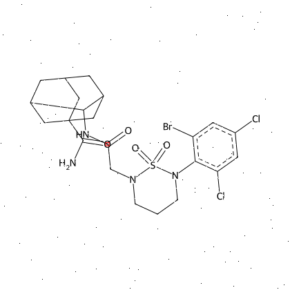 NC(=O)C12CC3CC(C1)C(NC(=O)CN1CCCN(c4c(Cl)cc(Cl)cc4Br)S1(=O)=O)C(C3)C2